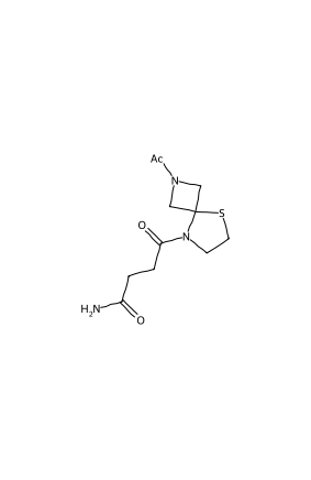 CC(=O)N1CC2(C1)SCCN2C(=O)CCC(N)=O